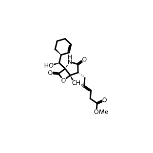 COC(=O)C/C=C/C[C@H]1C(=O)N[C@@]2([C@@H](O)[C@@H]3C=CCCC3)C(=O)O[C@@]12C